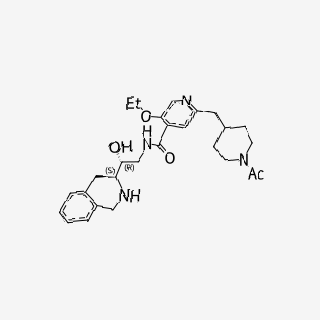 CCOc1cnc(CC2CCN(C(C)=O)CC2)cc1C(=O)NC[C@@H](O)[C@@H]1Cc2ccccc2CN1